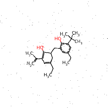 C=C(C)C1=C(O)C(Cc2cc(CC)cc(C(C)(C)C)c2O)CC(CC)=C1